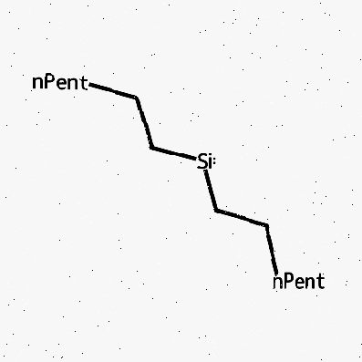 CCCCCCC[Si]CCCCCCC